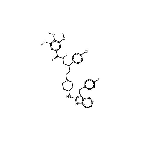 COc1cc(C(=O)N(C)CC(CCN2CCC(Nc3nc4ccccc4n3Cc3ccc(F)cc3)CC2)c2ccc(Cl)cc2)cc(OC)c1OC